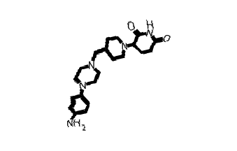 Nc1ccc(N2CCN(CC3CCN(C4CCC(=O)NC4=O)CC3)CC2)cc1